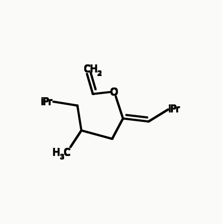 C=COC(=CC(C)C)CC(C)CC(C)C